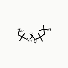 CCC(C)(C)CC(C)(C)NC(=O)NC(C)(C)CC(C)(C)C